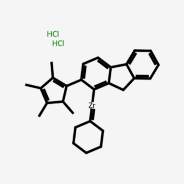 CC1=C(C)C(C)C(c2ccc3c([c]2[Zr]=[C]2CCCCC2)Cc2ccccc2-3)=C1C.Cl.Cl